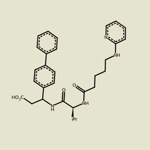 CC(C)[C@H](NC(=O)CCCCNc1ccccn1)C(=O)NC(CC(=O)O)c1ccc(-c2ccccc2)cc1